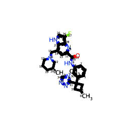 CC1CC(c2cccc(NC(=O)c3cc(CN4CCC[C@H](C)C4)c4[nH]cc(F)c4n3)c2)(c2nncn2C)C1